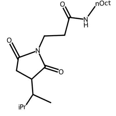 CCCCCCCCNC(=O)CCN1C(=O)CC(C(C)C(C)C)C1=O